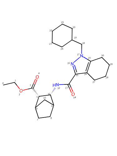 CCOC(=O)[C@H]1C2CCC(C2)[C@H]1NC(=O)c1nn(CC2CCCCC2)c2c1CCCC2